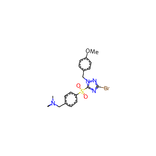 COc1ccc(Cn2nc(Br)nc2S(=O)(=O)c2ccc(CN(C)C)cc2)cc1